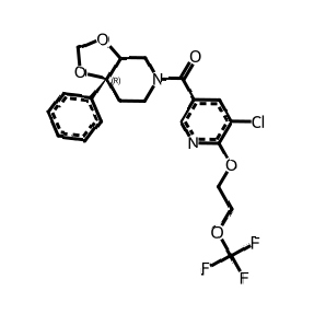 O=C(c1cnc(OCCOC(F)(F)F)c(Cl)c1)N1CC[C@]2(c3ccccc3)OCOC2C1